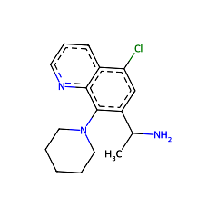 CC(N)c1cc(Cl)c2cccnc2c1N1CCCCC1